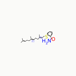 CC(C)=CCC/C(C)=C/CC/C(C)=C/CSc1ccccc1C(N)=O